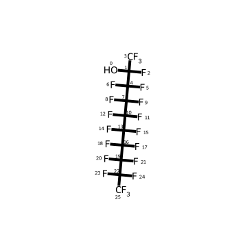 OC(F)(C(F)(F)F)C(F)(F)C(F)(F)C(F)(F)C(F)(F)C(F)(F)C(F)(F)C(F)(F)C(F)(F)F